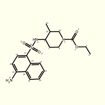 CCOC(=O)N1CCC(NS(=O)(=O)c2ccc(N)c3ccccc23)C(C)C1